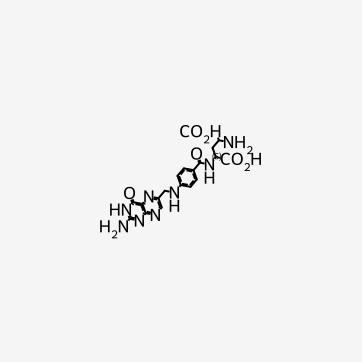 Nc1nc2ncc(CNc3ccc(C(=O)N[C@@H](CC(N)C(=O)O)C(=O)O)cc3)nc2c(=O)[nH]1